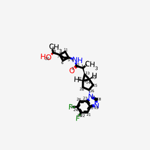 CC(C(=O)NC12CC(C(C)O)(C1)C2)[C@H]1[C@@H]2C[C@H](n3cnc4cc(F)c(F)cc43)C[C@@H]21